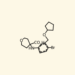 O=C(O)C1(Nc2ccc(Br)c(COC3CCCC3)c2)CCOCC1